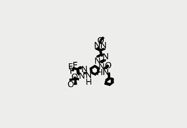 COc1ncc(-c2cnc(N(C(=O)NCc3ccccc3)C3CCC(Nc4ncc(C(F)(F)F)c(OC5(C)COC5)n4)CC3)cn2)cn1